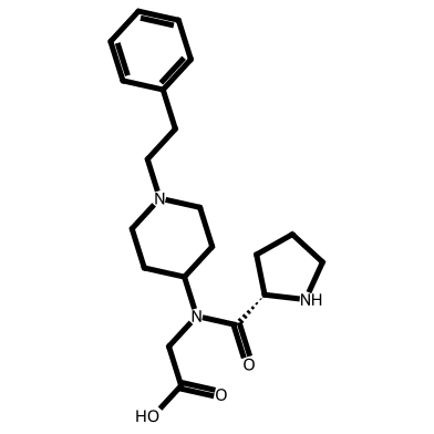 O=C(O)CN(C(=O)[C@@H]1CCCN1)C1CCN(CCc2ccccc2)CC1